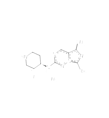 CCC(C)c1nc(C)c2cnc(N[C@@H]3CCNC[C@H]3F)nn12.Cl